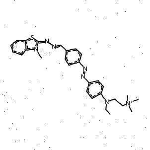 CCN(CC[N+](C)(C)C)c1ccc(N=Nc2ccc(C=NN=c3sc4ccccc4n3C)cc2)cc1